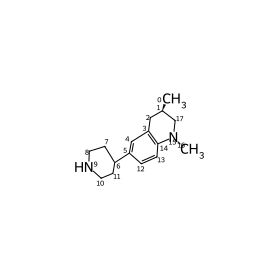 C[C@@H]1Cc2cc(C3CCNCC3)ccc2N(C)C1